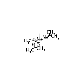 CSP(=S)(NC=NCC(C)C)OC(C)C